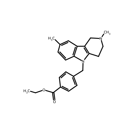 CCOC(=O)c1ccc(Cn2c3c(c4cc(C)ccc42)CN(C)CC3)cc1